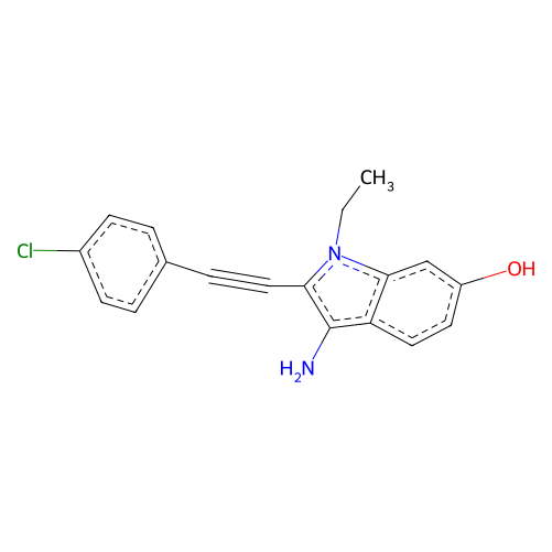 CCn1c(C#Cc2ccc(Cl)cc2)c(N)c2ccc(O)cc21